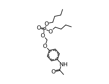 CCCCOP(=O)(OCCCC)OCOc1ccc(NC(C)=O)cc1